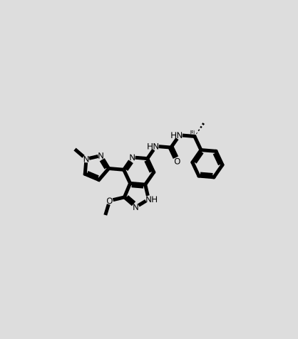 COc1n[nH]c2cc(NC(=O)N[C@H](C)c3ccccc3)nc(-c3ccn(C)n3)c12